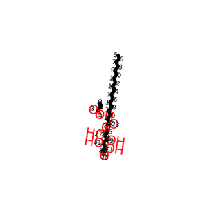 C=CC(=O)O.CCCCCCCCC=CCCCCCCCC(=O)OC[C@@H](O)[C@@H](O)[C@H](O)[C@@H](O)C=O